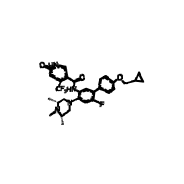 C[C@@H]1CN(c2cc(F)c(-c3ccc(OCC4CC4)cc3)cc2NC(=O)c2c[nH]c(=O)cc2C(F)(F)F)C[C@H](C)N1C